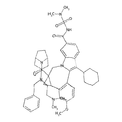 COc1ccc2c(c1)C1CC1(C(=O)N1C3CCC1CC(N(CCN(C)C)Cc1ccccc1)C3)Cn1c-2c(C2CCCCC2)c2ccc(C(=O)NS(=O)(=O)N(C)C)cc21